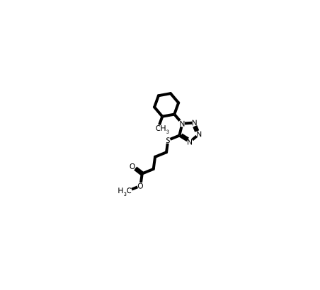 COC(=O)CCCSc1nnnn1C1CCCCC1C